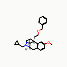 COc1ccc2c(c1)[C@@]1(CCOCc3ccccc3)CCN(CC3CC3)[C@H](C2)[C@@H]1C